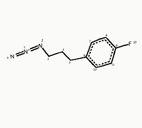 [N-]=[N+]=NCCCc1ccc(F)cc1